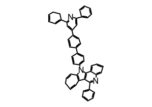 C1=CCCC(c2cc(-c3ccc(-c4ccc(-n5c6c(c7c(-c8ccccc8)nc8ccccc8c75)C=CCC=C6)cc4)cc3)cc(-c3ccccc3)n2)=C1